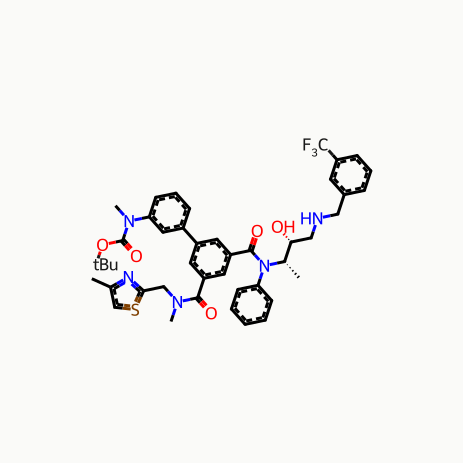 Cc1csc(CN(C)C(=O)c2cc(C(=O)N(c3ccccc3)[C@@H](C)[C@H](O)CNCc3cccc(C(F)(F)F)c3)cc(-c3cccc(N(C)C(=O)OC(C)(C)C)c3)c2)n1